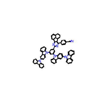 N#Cc1ccc(-c2nc(-c3cc(-n4c5ccccc5c5cc(-n6c7ccccc7c7ccccc76)ccc54)cc(-n4c5ccccc5c5cc(-n6c7ccccc7c7ccccc76)ccc54)c3)nc3c2-c2cccc4cccc-3c24)cc1